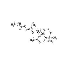 C=C1CCC2C(C)(C)CCC[C@@]2(C)[C@@H]1CC/C(C)=C/COPP